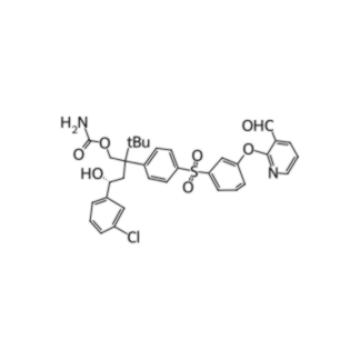 CC(C)(C)C(COC(N)=O)(C[C@@H](O)c1cccc(Cl)c1)c1ccc(S(=O)(=O)c2cccc(Oc3ncccc3C=O)c2)cc1